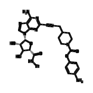 CCNC(=O)[C@H]1O[C@@H](n2cnc3c(N)nc(C#CCC4CCN(C(=O)Oc5ccc(N)cc5)CC4)nc32)[C@@H](O)C1O